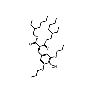 CCCCC(CC)COC(=O)C(=Cc1cc(OCCC)c(O)c(OCCC)c1)C(=O)OCC(CC)CCCC